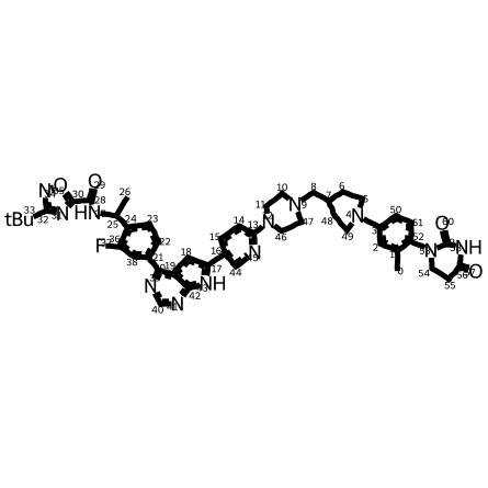 Cc1cc(N2CCC(CN3CCN(c4ccc(-c5cc6c(-c7ccc(C(C)NC(=O)c8nc(C(C)(C)C)no8)c(F)c7)ncnc6[nH]5)cn4)CC3)CC2)ccc1N1CCC(=O)NC1=O